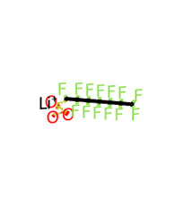 O=S(=O)([O-])C(F)C(F)(F)C(F)(F)C(F)(F)C(F)(F)C(F)(F)C(F)F.[Li+]